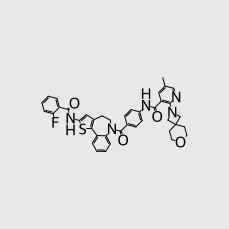 Cc1cnc(N2CC3(CCOCC3)C2)c(C(=O)Nc2ccc(C(=O)N3CCc4cc(NC(=O)c5ccccc5F)sc4-c4ccccc43)cc2)c1